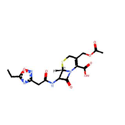 CCc1nc(CC(=O)NC2C(=O)N3C(C(=O)O)=C(COC(C)=O)CS[C@@H]23)no1